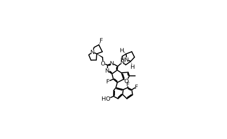 Cc1cc2c(o1)c(-c1cc(O)cc3ccc(F)c(F)c13)c(F)c1nc(OC[C@@]34CCCN3C[C@H](F)C4)nc(N3C[C@H]4CC[C@@H](C3)N4)c12